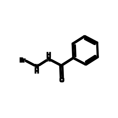 O=C(NNBr)c1ccccc1